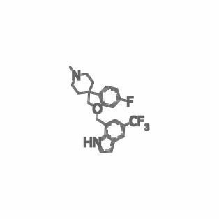 CN1CCC(COCc2cc(C(F)(F)F)cc3cc[nH]c23)(c2ccc(F)cc2)CC1